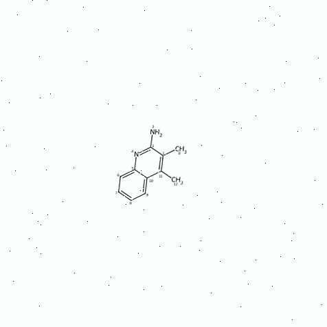 Cc1c(N)nc2ccccc2c1C